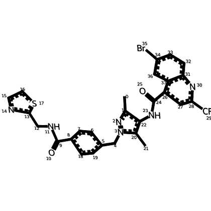 Cc1nn(Cc2ccc(C(=O)NCc3nccs3)cc2)c(C)c1NC(=O)c1cc(C(F)(F)F)nc2ccc(Br)cc12